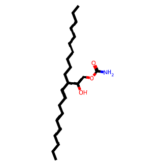 CCCCCCCCCCC(CCCCCCCCCC)C(O)COC(N)=O